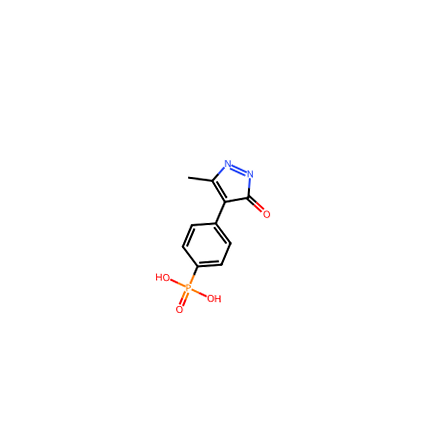 CC1=C(c2ccc(P(=O)(O)O)cc2)C(=O)N=N1